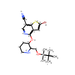 CC(C)(C)[Si](C)(C)OCC1NCCCC1Oc1ncc(C#N)c2sc(Br)cc12